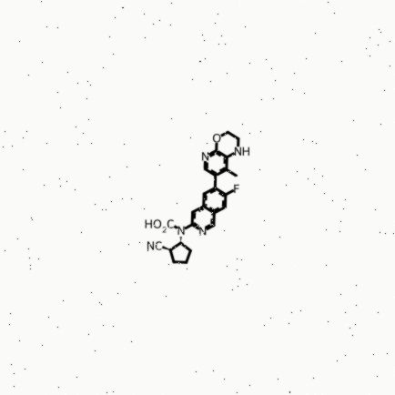 Cc1c(-c2cc3cc(N(C(=O)O)[C@@H]4CCC[C@H]4C#N)ncc3cc2F)cnc2c1NCCO2